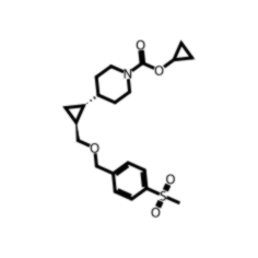 CS(=O)(=O)c1ccc(COC[C@H]2C[C@@H]2C2CCN(C(=O)OC3CC3)CC2)cc1